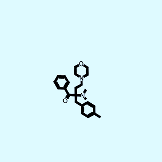 Cc1ccc(CC(CCN2CCOCC2)(C(=O)c2ccccc2)N(C)C)cc1